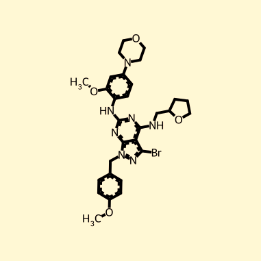 COc1ccc(Cn2nc(Br)c3c(NCC4CCCO4)nc(Nc4ccc(N5CCOCC5)cc4OC)nc32)cc1